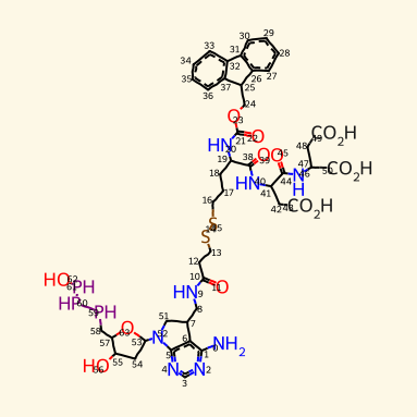 Nc1ncnc2c1C(CNC(=O)CCSSCCCC(NC(=O)OCC1c3ccccc3-c3ccccc31)C(=O)NC(CC(=O)O)C(=O)NC(CC(=O)O)C(=O)O)CN2C1CC(O)C(CPPPO)O1